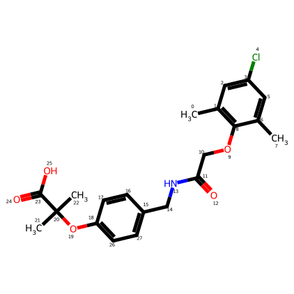 Cc1cc(Cl)cc(C)c1OCC(=O)NCc1ccc(OC(C)(C)C(=O)O)cc1